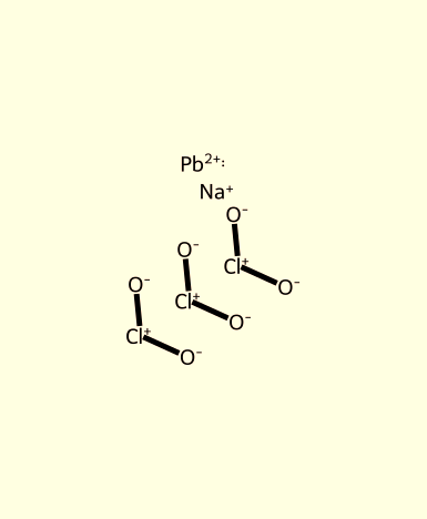 [Na+].[O-][Cl+][O-].[O-][Cl+][O-].[O-][Cl+][O-].[Pb+2]